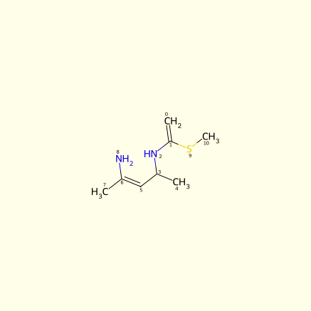 C=C(NC(C)/C=C(/C)N)SC